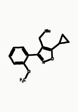 CC(C)(C)Cc1c(-c2ccccc2OC(F)(F)F)noc1C1CC1